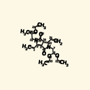 C=CC1=C2C(=O)N(CC(OCC)OCC)C(C=C)=C2C(=O)N1CC(C)OCC